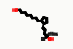 CCCCCCC(O)(CC)C/C=C/[C@H]1C=CC[C@@H]1CCCCCCCCO